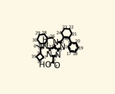 C[C@@H](Nc1nc(C(=O)O)nc2nc(C3=C(c4ccccc4)CCCC3)n(CC3CCCCC3)c12)C1CCC1